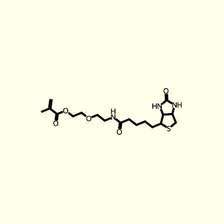 C=C(C)C(=O)OCCOCCNC(=O)CCCCC1SCC2NC(=O)NC21